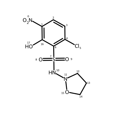 O=[N+]([O-])c1ccc(Cl)c(S(=O)(=O)NN2CCCO2)c1O